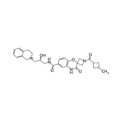 CC1CC(C(=O)N2CC3(C2)Oc2ccc(C(=O)NC[C@H](O)CN4CCc5ccccc5C4)cc2NC3=O)C1